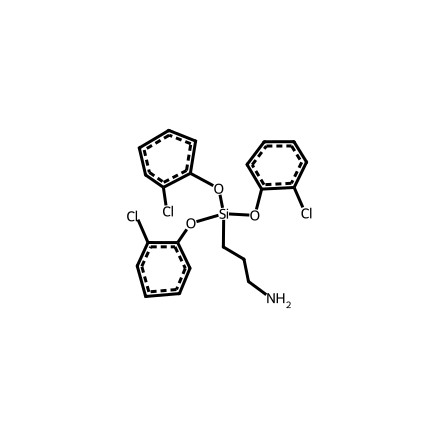 NCCC[Si](Oc1ccccc1Cl)(Oc1ccccc1Cl)Oc1ccccc1Cl